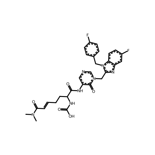 CN(C)C(=O)/C=C/CCC(NC(=O)O)C(=O)Nc1cncn(Cc2nc3cc(F)ccc3n2Cc2ccc(F)cc2)c1=O